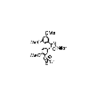 COc1cc(OC)cc(-c2ncoc2-c2ccc(OC)c(OP(=O)([O-])[O-])c2)c1.[Na+].[Na+]